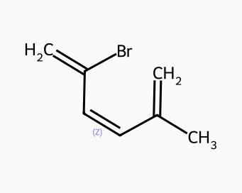 C=C(C)/C=C\C(=C)Br